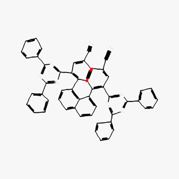 N#Cc1ccc(-c2cccc3cccc(-c4ccc(C#N)cc4-c4nc(-c5ccccc5)nc(-c5ccccc5)n4)c23)c(-c2nc(-c3ccccc3)nc(-c3ccccc3)n2)c1